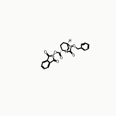 O=C(ON1C(=O)c2ccccc2C1=O)[C@@H]1CC[C@@H]2CN1C(=O)N2OCc1ccccc1